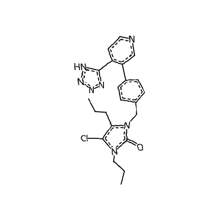 CCCc1c(Cl)n(CCC)c(=O)n1Cc1ccc(-c2cnccc2-c2nnn[nH]2)cc1